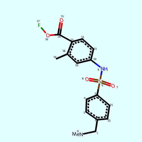 CNCc1ccc(S(=O)(=O)Nc2ccc(C(=O)OF)c(C)c2)cc1